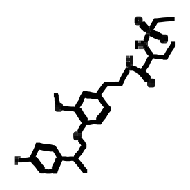 CCC(NS(=O)(=O)CC)C(=O)NCCc1ccc(OCC(C)c2ccc(F)cc2)c(OC)c1